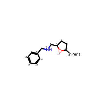 CCCCCC1CCC(CNCc2ccccc2)O1